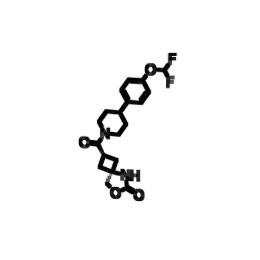 O=C1N[C@]2(CO1)C[C@H](C(=O)N1CCC(c3ccc(OC(F)F)cc3)CC1)C2